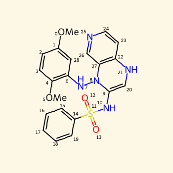 COc1ccc(OC)c(NN2C(NS(=O)(=O)c3ccccc3)=CNc3ccncc32)c1